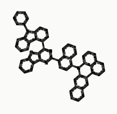 c1ccc(-n2c3ccccc3c3c(-c4nc(-c5ccc(N6c7cc8ccccc8cc7-c7cccc8cccc6c78)c6ccccc56)nc5c4oc4ccccc45)cccc32)cc1